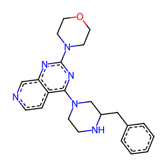 c1ccc(CC2CN(c3nc(N4CCOCC4)nc4cnccc34)CCN2)cc1